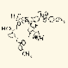 CCOC(=O)CCc1cccc(C(O)CCOCC(C)(C)CSCc2c(Oc3ccc(F)c(-c4cc[nH]n4)c3)c(F)cc3c2ccn3S(=O)(=O)c2ccc(C)cc2)c1